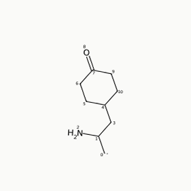 [CH2]C(N)CC1CCC(=O)CC1